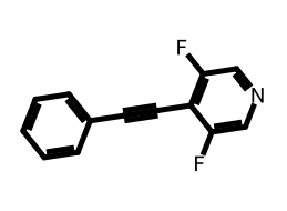 Fc1cncc(F)c1C#Cc1ccccc1